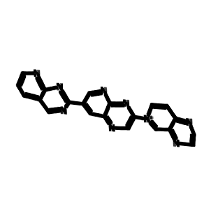 c1cnc2nc(-c3cnc4nc(-[n+]5ccc6nccnc6c5)cnc4c3)ncc2c1